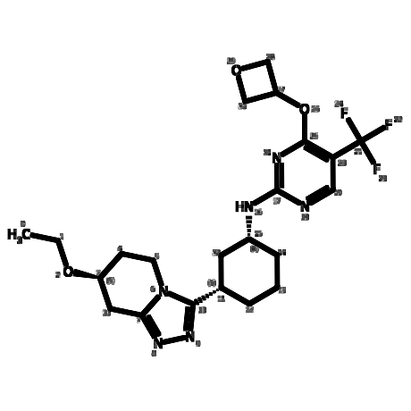 CCO[C@H]1CCn2c(nnc2[C@H]2CCC[C@@H](Nc3ncc(C(F)(F)F)c(OC4COC4)n3)C2)C1